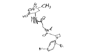 CC(C)CC(NC(=O)CNC(=O)C1CCN1c1cc(F)ccc1F)B(O)O